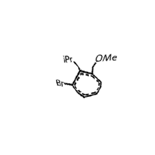 COc1cccc(Br)c1C(C)C